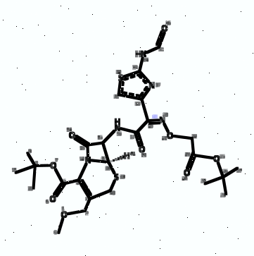 COCC1=C(C(=O)OC(C)(C)C)N2C(=O)C(NC(=O)/C(=N\OCC(=O)OC(C)(C)C)c3csc(NC=O)n3)[C@H]2SC1